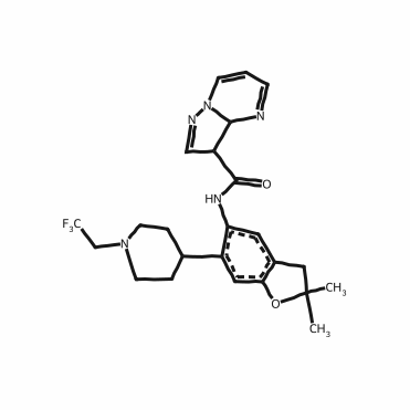 CC1(C)Cc2cc(NC(=O)C3C=NN4C=CC=NC34)c(C3CCN(CC(F)(F)F)CC3)cc2O1